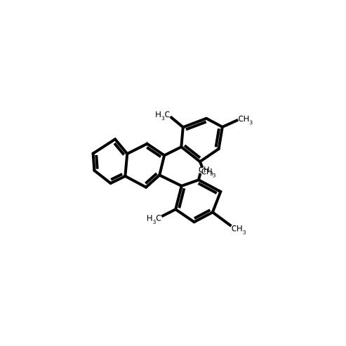 Cc1cc(C)c(-c2[c]c3ccccc3cc2-c2c(C)cc(C)cc2C)c(C)c1